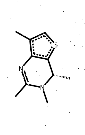 CC1=Nc2c(C)csc2[C@H](C)N1C